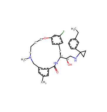 CCc1cccc(C2(NC[C@@H](O)[C@@H]3Cc4cc(F)cc(c4)OCCCCN(C)Cc4cc(C)cc(c4)C(=O)N3)CC2)c1